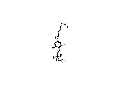 CCCCCOc1cc(F)c(CCC(F)(F)OC)c(F)c1